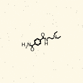 CCN(CC)CCNC(=O)c1ccc(C(N)=O)cc1